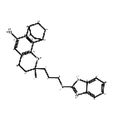 CC1(CCCSc2nc3ccccc3s2)CCc2cc(O)c3c(c2O1)C1CCC3CC1